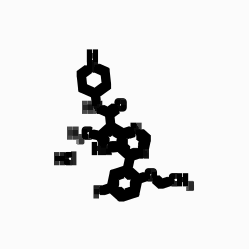 CCOc1ccc(F)cc1-c1ncnc2c(C(=O)NC3CCNCC3)c(C)[nH]c12.Cl